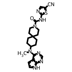 CN(c1ncnc2[nH]ccc12)C1CCC2(CC1)CCN(C(=O)Nc1ncc(C#N)s1)CC2